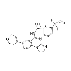 C[C@@H](NC1=NC2=NCCN2c2cnc(C3=CCOCC3)cc21)c1cccc(C(C)(F)F)c1F